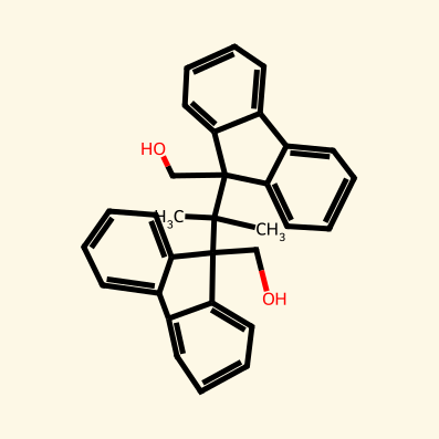 CC(C)(C1(CO)c2ccccc2-c2ccccc21)C1(CO)c2ccccc2-c2ccccc21